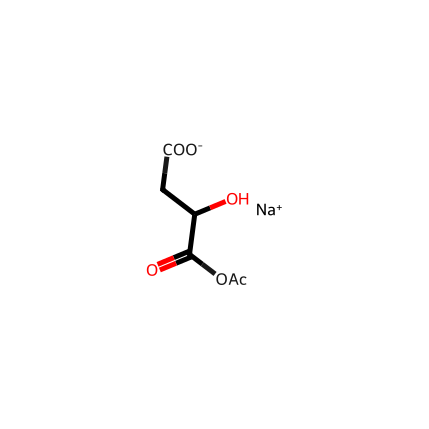 CC(=O)OC(=O)C(O)CC(=O)[O-].[Na+]